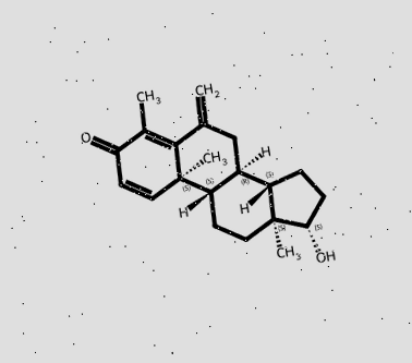 C=C1C[C@H]2[C@@H]3CC[C@H](O)[C@@]3(C)CC[C@@H]2[C@@]2(C)C=CC(=O)C(C)=C12